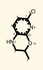 CC1CNc2ccc(Cl)nc2O1